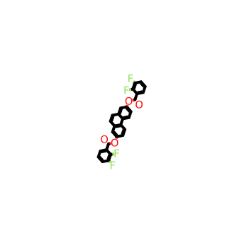 O=C(Oc1ccc2c(ccc3cc(OC(=O)c4cccc(F)c4F)ccc32)c1)c1cccc(F)c1F